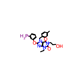 CCn1c(=O)n(CCCO)c(=O)c2c1nc(Oc1cccc(P)c1)n2Cc1ccc(C)cc1